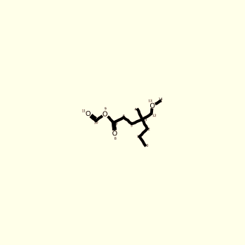 CCCC(C)(CCC(=O)OC=O)COC